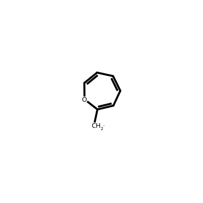 [CH2]C1=CC=CC=CO1